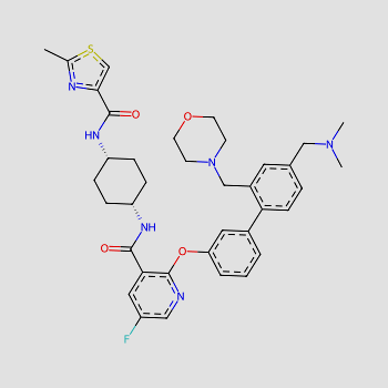 Cc1nc(C(=O)N[C@H]2CC[C@@H](NC(=O)c3cc(F)cnc3Oc3cccc(-c4ccc(CN(C)C)cc4CN4CCOCC4)c3)CC2)cs1